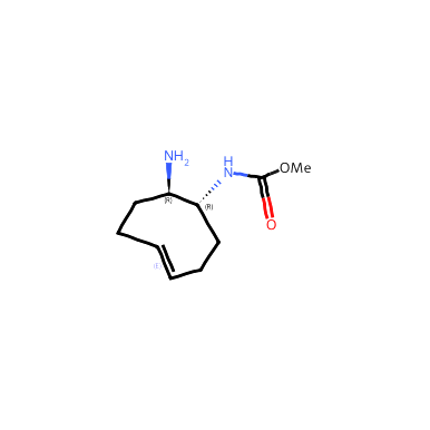 COC(=O)N[C@@H]1CC/C=C/CC[C@H]1N